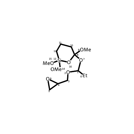 CCC(OCC1CO1)OC1(OC)CCC[Si](OC)(OC)O1